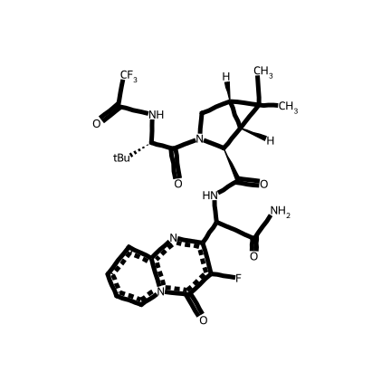 CC(C)(C)[C@H](NC(=O)C(F)(F)F)C(=O)N1C[C@H]2[C@@H]([C@H]1C(=O)NC(C(N)=O)c1nc3ccccn3c(=O)c1F)C2(C)C